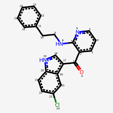 O=C(c1cccnc1NCCc1ccccc1)c1c[nH]c2ccc(Cl)cc12